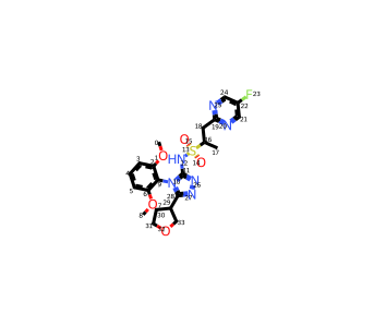 COc1cccc(OC)c1-n1c(NS(=O)(=O)C(C)Cc2ncc(F)cn2)nnc1C1CCOC1